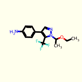 CCOC(C)n1ncc(-c2ccc(N)cc2)c1C(F)(F)F